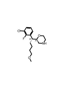 COCCCC[C@H](c1cccc(Cl)c1F)[C@@H]1CNCCO1